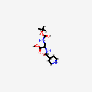 COC(=O)C(CNC(=O)OC(C)(C)C)NC(=O)C1CCNCC1